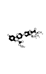 CN(C)C(=O)c1nc2c(n1C)CN([C@H]1CO[C@H](c3cc(F)ccc3F)[C@@H](NC(=O)OC(C)(C)C)C1)C2